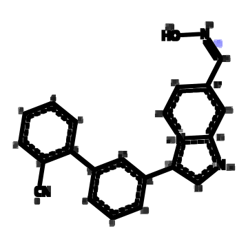 N#Cc1ccccc1-c1cccc(-c2cnc3cc(/C=N\O)ccn23)c1